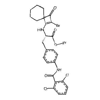 CC(C)OC(=O)[C@H](Cc1ccc(NC(=O)c2c(Cl)cccc2Cl)cc1)NC1=C(Br)C(=O)C12CCCCC2